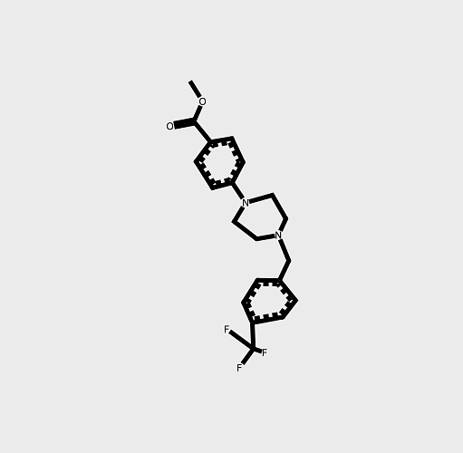 COC(=O)c1ccc(N2CCN(Cc3ccc(C(F)(F)F)cc3)CC2)cc1